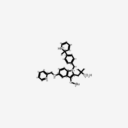 CC(C)(C)Sc1c(CC(C)(C)C(=O)O)n(Cc2ccc(C3(C)C=CC=CN3)cc2)c2ccc(OCc3ccccn3)cc12